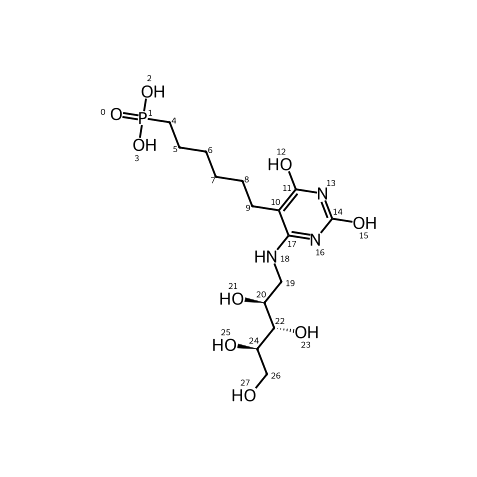 O=P(O)(O)CCCCCCc1c(O)nc(O)nc1NC[C@H](O)[C@H](O)[C@H](O)CO